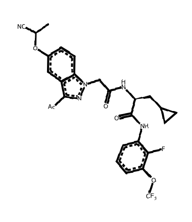 CC(=O)c1nn(CC(=O)N[C@@H](CC2CC2)C(=O)Nc2cccc(OC(F)(F)F)c2F)c2ccc(OC(C)C#N)cc12